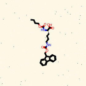 CCCCOC(=O)N[C@@H](CCCCNC(=O)OCC1c2ccccc2-c2ccccc21)C(=O)O